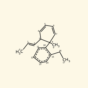 CC=CC1C=CC=CC1(C)c1ccccc1CC